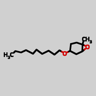 CCCCCCCCCCOC1CCC2(C)OC2C1